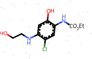 CCOC(=O)Nc1cc(Cl)c(NCCO)cc1O